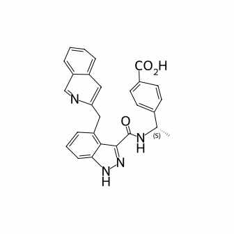 C[C@H](NC(=O)c1n[nH]c2cccc(Cc3cc4ccccc4cn3)c12)c1ccc(C(=O)O)cc1